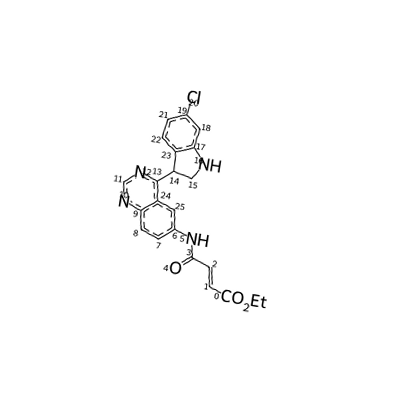 CCOC(=O)C=CC(=O)Nc1ccc2ncnc(C3CNc4cc(Cl)ccc43)c2c1